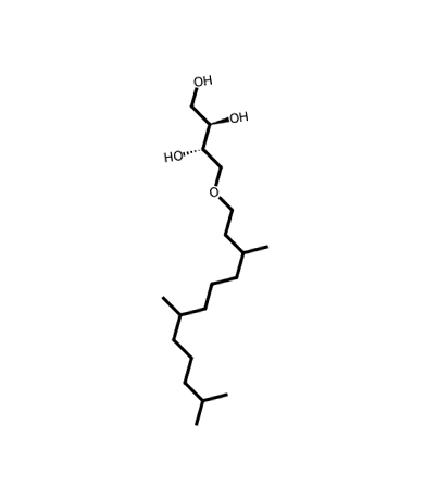 CC(C)CCCC(C)CCCC(C)CCOC[C@H](O)[C@H](O)CO